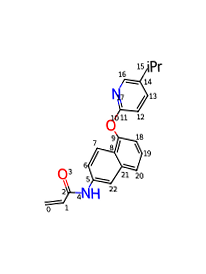 C=CC(=O)Nc1ccc2c(Oc3ccc(C(C)C)cn3)cccc2c1